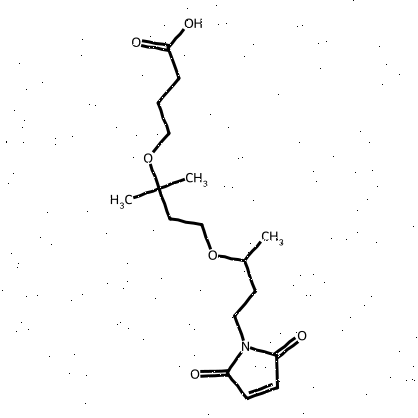 CC(CCN1C(=O)C=CC1=O)OCCC(C)(C)OCCCC(=O)O